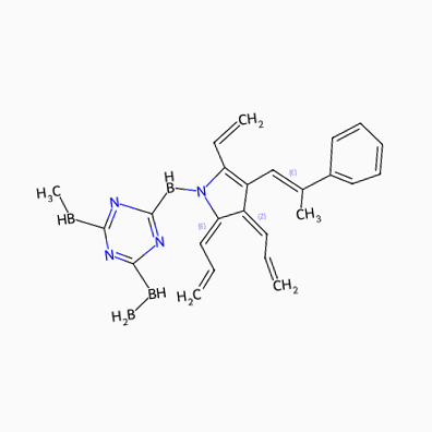 BBc1nc(BC)nc(Bn2c(C=C)c(/C=C(\C)c3ccccc3)c(=C/C=C)/c2=C\C=C)n1